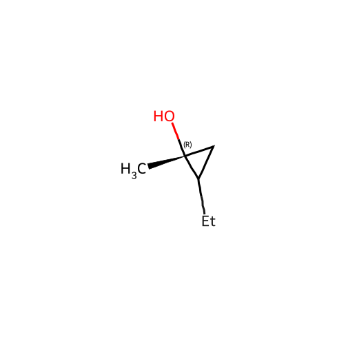 CCC1C[C@@]1(C)O